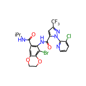 CC(C)NC(=O)c1cc2c(c(Br)c1NC(=O)c1cc(C(F)(F)F)nn1-c1ncccc1Cl)OCCO2